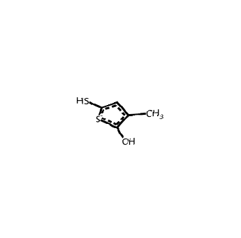 Cc1cc(S)sc1O